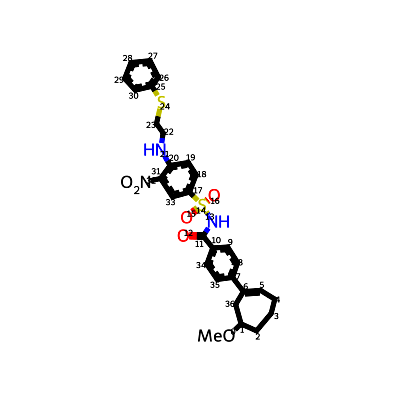 COC1CCCC=C(c2ccc(C(=O)NS(=O)(=O)c3ccc(NCCSc4ccccc4)c([N+](=O)[O-])c3)cc2)C1